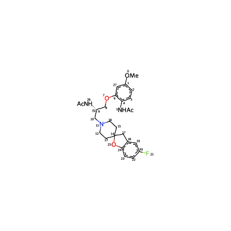 COc1ccc(NC(C)=O)c(OC[C@H](CN2CCC3(CC2)Cc2cc(F)ccc2O3)NC(C)=O)c1